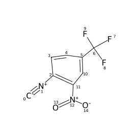 [C-]#[N+]c1ccc(C(F)(F)F)cc1[N+](=O)[O-]